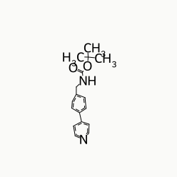 CC(C)(C)OC(=O)NCc1ccc(-c2ccncc2)cc1